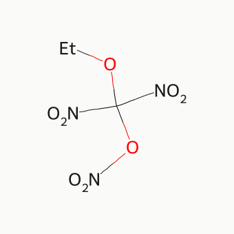 CCOC(O[N+](=O)[O-])([N+](=O)[O-])[N+](=O)[O-]